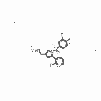 CNCc1cc(-c2cccnc2F)n(S(=O)(=O)c2ccc(C)c(F)c2)c1